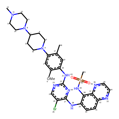 COc1cc(N2CCC(N3CCN(C)CC3)CC2)c(C)cc1Nc1ncc(Br)c(Nc2ccc3nccnc3c2NS(C)(=O)=O)n1